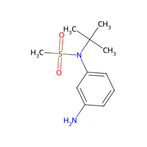 CC(C)(C)N(c1cccc(N)c1)S(C)(=O)=O